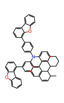 CC1C=Cc2cccc(-c3ccccc3N(c3ccc(-c4cccc5c4oc4ccccc45)cc3)c3cccc(-c4cccc5oc6ccccc6c45)c3)c2C1C1CCCCC1